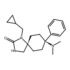 CN(C)[C@]1(c2ccccc2)CC[C@@]2(CC1)CNC(=O)N2CC1CC1